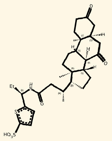 CC[C@@H](NC(=O)C[C@@H](C)[C@H]1CC[C@H]2[C@@H]3C(=O)C[C@@H]4CC(=O)CC[C@]4(C)[C@H]3CC[C@]12C)c1ccc(S(=O)(=O)O)s1